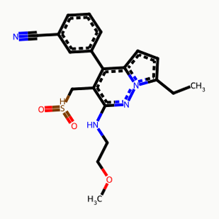 CCc1ccc2c(-c3cccc(C#N)c3)c(C[SH](=O)=O)c(NCCOC)nn12